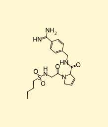 CCCCS(=O)(=O)NCC(=O)N1CC=CC1C(=O)NCc1ccc(C(=N)N)cc1